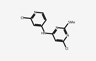 CSc1nc(Cl)cc(Nc2ccnc(Cl)c2)n1